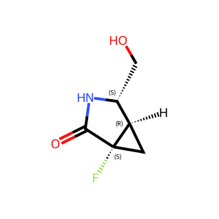 O=C1N[C@H](CO)[C@H]2C[C@@]12F